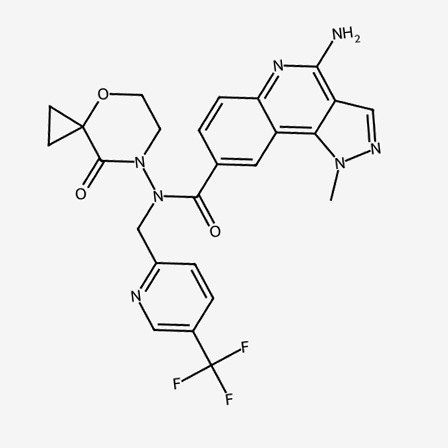 Cn1ncc2c(N)nc3ccc(C(=O)N(Cc4ccc(C(F)(F)F)cn4)N4CCOC5(CC5)C4=O)cc3c21